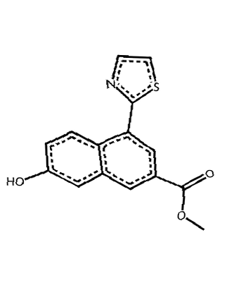 COC(=O)c1cc(-c2nccs2)c2ccc(O)cc2c1